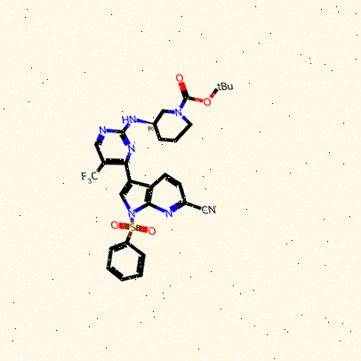 CC(C)(C)OC(=O)N1CCC[C@@H](Nc2ncc(C(F)(F)F)c(-c3cn(S(=O)(=O)c4ccccc4)c4nc(C#N)ccc34)n2)C1